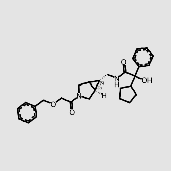 O=C(COCc1ccccc1)N1CC2[C@H](CNC(=O)C(O)(c3ccccc3)C3CCCC3)[C@H]2C1